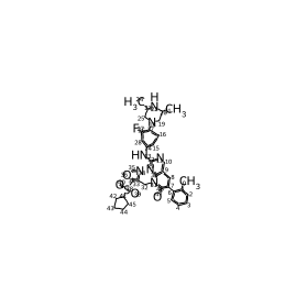 Cc1ccccc1-c1cc2cnc(Nc3ccc(N4CC(C)NC(C)C4)c(F)c3)nc2n(Cc2ncoc2S(=O)(=O)C2CCCC2)c1=O